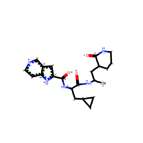 N#CC(CC1CCCNC1=O)NC(=O)C(CC1CC1)NC(=O)c1cc2cnccc2[nH]1